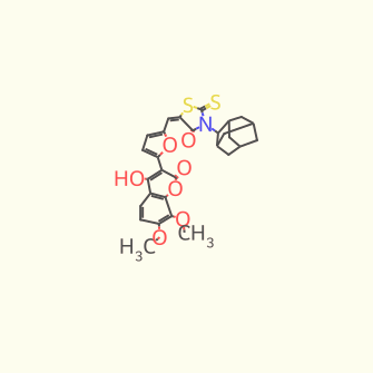 COc1ccc2c(O)c(-c3ccc(C=C4SC(=S)N(C5C6CC7CC(C6)CC5C7)C4=O)o3)c(=O)oc2c1OC